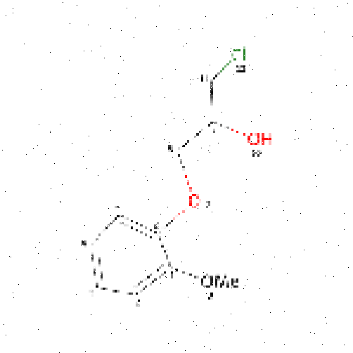 COc1ccccc1OCC(O)CCl